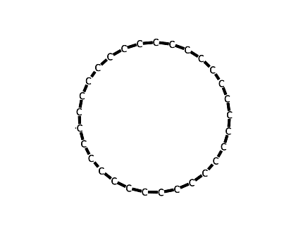 [CH]1CCCCCCCCCCCCCCCCCCCCCCCCCCCC1